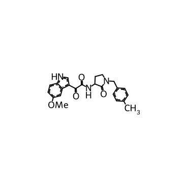 COc1ccc2[nH]cc(C(=O)C(=O)NC3CCN(Cc4ccc(C)cc4)C3=O)c2c1